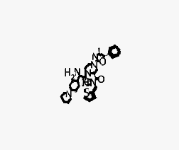 C[C@@H]1N=C(N2CCN(C(=O)[C@H](N)C3CCC(N4CCCCC4)CC3)[C@H](C(=O)NCc3cccs3)C2)O[C@H]1c1ccccc1